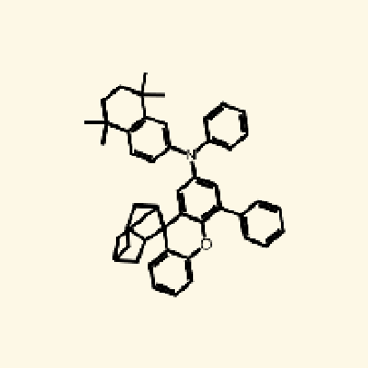 CC1(C)CCC(C)(C)c2cc(N(c3ccccc3)c3cc(-c4ccccc4)c4c(c3)C3(c5ccccc5O4)C4CC5CC(C4)C3C5)ccc21